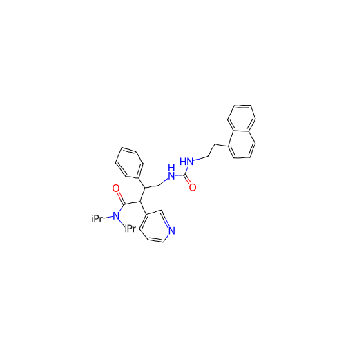 CC(C)N(C(=O)C(c1cccnc1)C(CNC(=O)NCCc1cccc2ccccc12)c1ccccc1)C(C)C